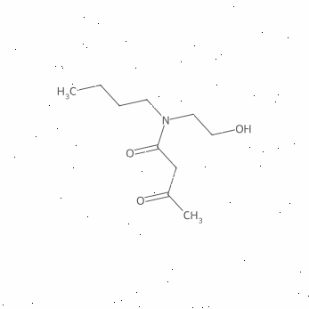 CCCCN(CCO)C(=O)CC(C)=O